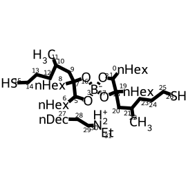 CCCCCCC1O[B-]2(OC(CCCCCC)C(CCCCCC)(CC(C)CCCS)O2)OC1(CCCCCC)CC(C)CCCS.CCCCCCCCCCCC[NH2+]CC